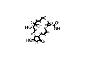 CCCCC(C)(C)[C@@H](O)CC[C@H]1[C@H](O)CC(=O)[C@@H]1C/C=C\C[C@@H]1C[C@H]1C(=O)O